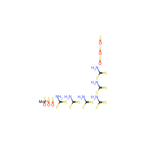 NC(=S)[S-].NC(=S)[S-].NC(=S)[S-].NC(=S)[S-].NC(=S)[S-].NC(=S)[S-].O=S.O=S.O=S.O=S.O=S.O=S.[Mo+6]